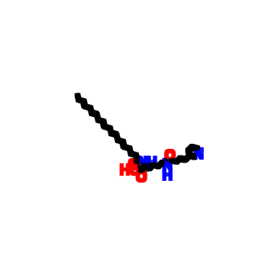 CCC=CCC=CCC=CCC=CCC=CCCCC(=O)N[C@@H](CCCCNC(=O)CC=Cc1cccnc1)C(=O)O